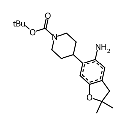 CC(C)(C)OC(=O)N1CCC(c2cc3c(cc2N)CC(C)(C)O3)CC1